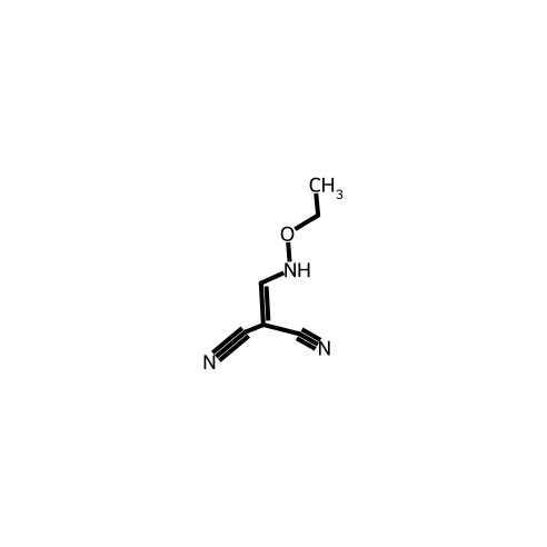 CCONC=C(C#N)C#N